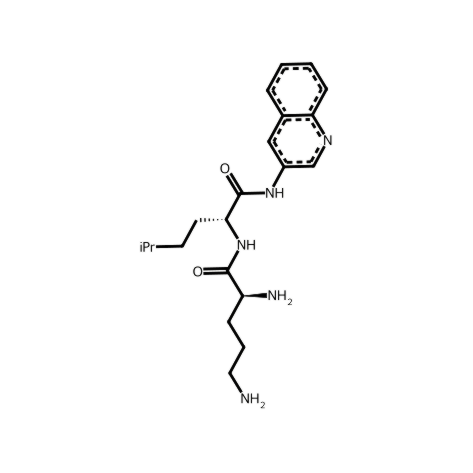 CC(C)CC[C@@H](NC(=O)[C@@H](N)CCCN)C(=O)Nc1cnc2ccccc2c1